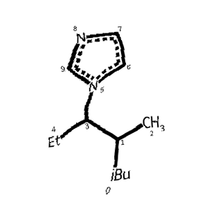 CCC(C)C(C)C(CC)n1ccnc1